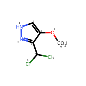 O=C(O)Oc1c[nH]nc1C(Cl)Cl